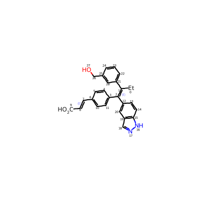 CC/C(=C(/c1ccc(/C=C/C(=O)O)cc1)c1ccc2[nH]ncc2c1)c1cccc(CO)c1